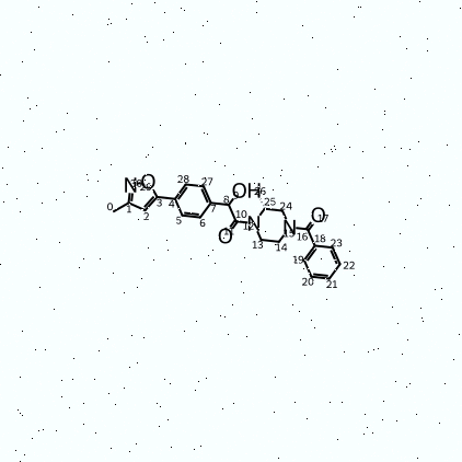 Cc1cc(-c2ccc(C(O)C(=O)N3CCN(C(=O)c4ccccc4)C[C@H]3C)cc2)on1